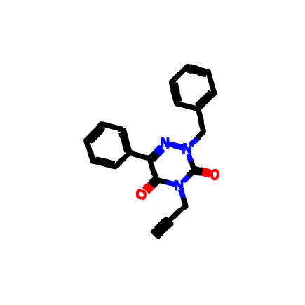 C#CCn1c(=O)c(-c2ccccc2)nn(Cc2ccccc2)c1=O